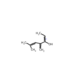 C=C(C=C(C)C)/C(O)=C\C